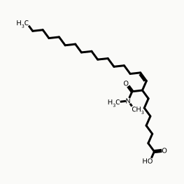 CCCCCCCCCCCCCC/C=C\C(CCCCCCC(=O)O)C(=O)N(C)C